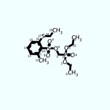 CCOP(=O)(COS(=O)(=O)c1c(C)cccc1SCC)OCC